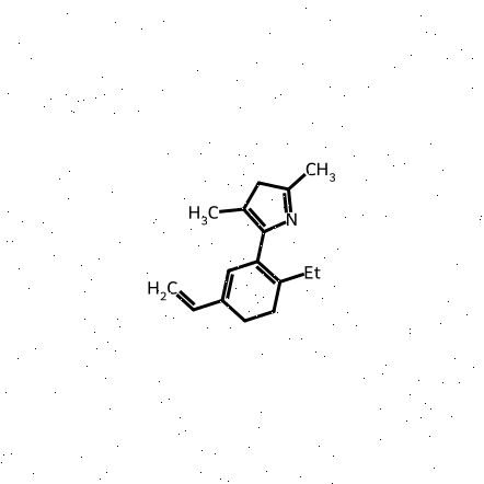 C=CC1=CC(C2=C(C)CC(C)=N2)=C(CC)CC1